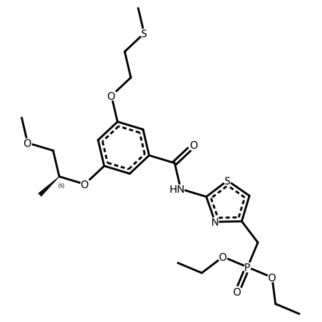 CCOP(=O)(Cc1csc(NC(=O)c2cc(OCCSC)cc(O[C@@H](C)COC)c2)n1)OCC